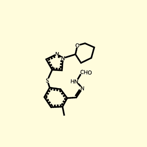 Cc1ccc(Sc2cnn(C3CCCCO3)c2)cc1/C=N\NC=O